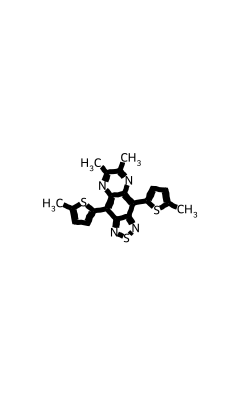 Cc1ccc(-c2c3nsnc3c(-c3ccc(C)s3)c3nc(C)c(C)nc23)s1